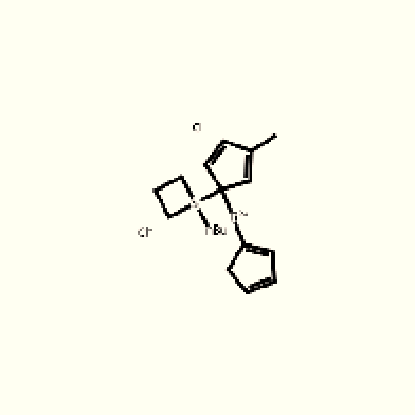 CCCC[Si]1([C]2([Ti+2][C]3=CC=CC3)C=CC(C)=C2)CCC1.[Cl-].[Cl-]